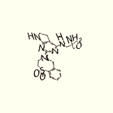 NC1(CNc2nc(N3CCS(=O)(=O)c4ccccc4C3)nc3c2CCN3)COC1